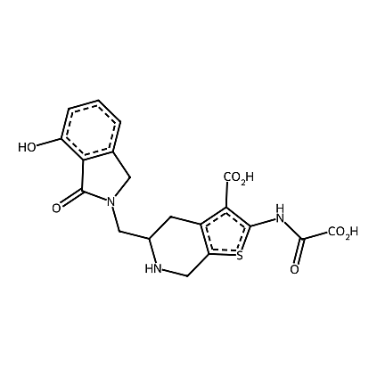 O=C(O)C(=O)Nc1sc2c(c1C(=O)O)CC(CN1Cc3cccc(O)c3C1=O)NC2